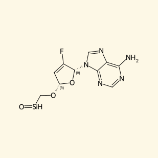 Nc1ncnc2c1ncn2[C@@H]1O[C@H](OC[SiH]=O)C=C1F